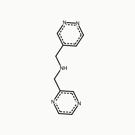 c1cnc(CNCc2ccnnc2)cn1